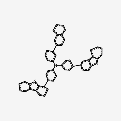 c1cc(-c2ccc3ccccc3c2)cc(N(c2ccc(-c3ccc4sc5ccccc5c4c3)cc2)c2ccc(-c3cccc4c3sc3ccccc34)cc2)c1